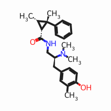 Cc1cc(C[C@@H](CNC(=O)[C@@H]2[C@H](C)[C@]2(C)c2ccccc2)N(C)C)ccc1O